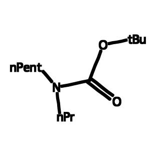 CCCCCN(CCC)C(=O)OC(C)(C)C